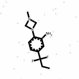 CCC(F)(F)c1ccc(N2CN(C)C2)c(N)c1